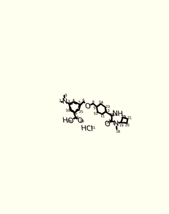 CN(C)c1cc(COCC2CCC([C@H](N)C(=O)N(C)C3CCC3)CC2)cc(C(=O)O)c1.Cl